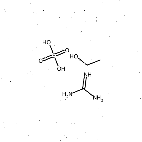 CCO.N=C(N)N.O=S(=O)(O)O